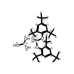 CC(C)(C)c1cc(C(C)(C)C)c(OP(O)Oc2c(C(C)(C)C)cc(C(C)(C)C)cc2C(C)(C)C)c(C(C)(C)C)c1.OP(O)O